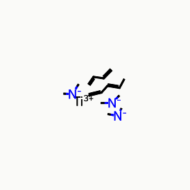 C=CC=C.CC=CC=[CH][Ti+3].C[N-]C.C[N-]C.C[N-]C